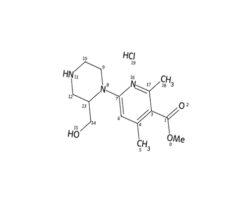 COC(=O)c1c(C)cc(N2CCNCC2CO)nc1C.Cl